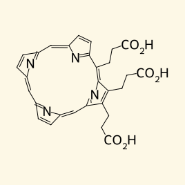 O=C(O)CCC1=C(CCC(=O)O)C2=C(CCC(=O)O)C3=NC(=CC4=NC(=CC5=NC(=CC1=N2)C=C5)C=C4)C=C3